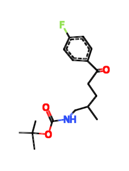 CC(CCC(=O)c1ccc(F)cc1)CNC(=O)OC(C)(C)C